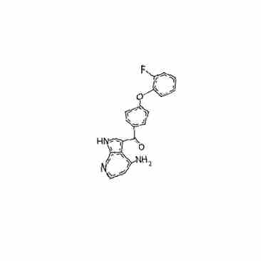 Nc1ccnc2[nH]cc(C(=O)c3ccc(Oc4ccccc4F)cc3)c12